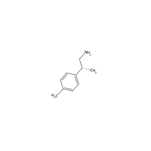 Cc1ccc([C@@H](C)CN)cc1